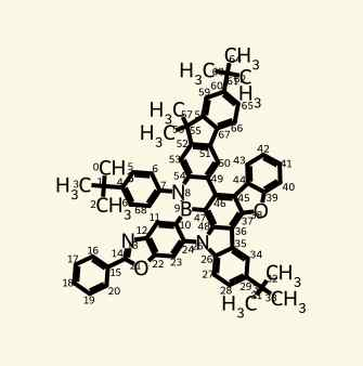 CC(C)(C)c1ccc(N2B3c4cc5nc(-c6ccccc6)oc5cc4-n4c5ccc(C(C)(C)C)cc5c5c6oc7ccccc7c6c(c3c54)-c3cc4c(cc32)C(C)(C)c2cc(C(C)(C)C)ccc2-4)cc1